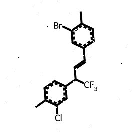 Cc1ccc(C(/C=C/c2ccc(C)c(Br)c2)C(F)(F)F)cc1Cl